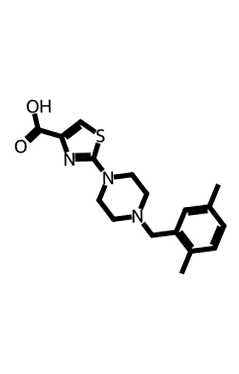 Cc1ccc(C)c(CN2CCN(c3nc(C(=O)O)cs3)CC2)c1